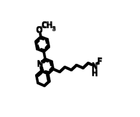 COc1ccc(-c2cc(CCCCCCNF)c3c(n2)=CCCC=3)cc1